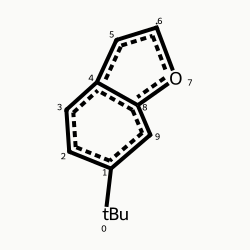 CC(C)(C)c1ccc2c[c]oc2c1